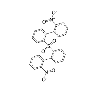 O=[N+]([O-])c1ccccc1-c1ccccc1S(=O)(=O)c1ccccc1-c1ccccc1[N+](=O)[O-]